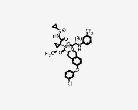 C=C[C@@H]1C[C@]1(NC(=O)[C@H]1Cc2cc(Oc3cccc(Cl)c3)ccc2CN1C(=O)[C@@H](Nc1cccc(C(F)(F)F)c1)C(C)(C)C)C(=O)N[S+]([O-])C1CC1